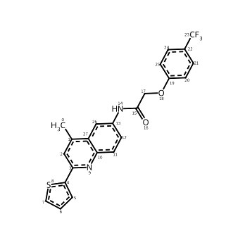 Cc1cc(-c2cccs2)nc2ccc(NC(=O)COc3ccc(C(F)(F)F)cc3)cc12